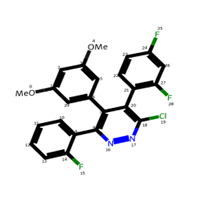 COc1cc(OC)cc(-c2c(-c3ccccc3F)nnc(Cl)c2-c2ccc(F)cc2F)c1